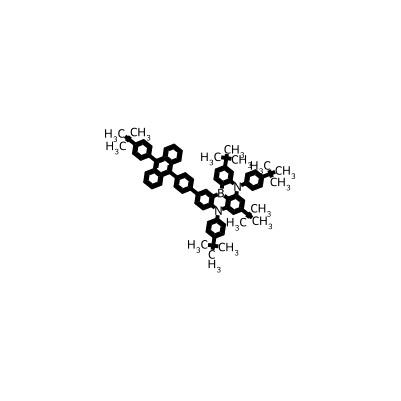 CC(C)(C)c1ccc(-c2c3ccccc3c(-c3ccc(-c4ccc5c(c4)B4c6ccc(C(C)(C)C)cc6N(c6ccc(C(C)(C)C)cc6)c6cc(C(C)(C)C)cc(c64)N5c4ccc(C(C)(C)C)cc4)cc3)c3ccccc23)cc1